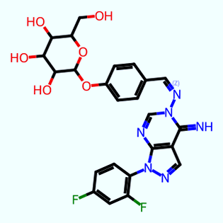 N=c1c2cnn(-c3ccc(F)cc3F)c2ncn1/N=C\c1ccc(OC2OC(CO)C(O)C(O)C2O)cc1